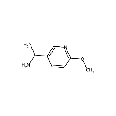 COc1ccc(C(N)N)cn1